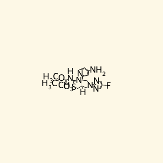 CC(C)(C)OC(=O)NC1=N[C@]2(c3cc(N)ccn3)CN(c3ncc(F)cn3)C[C@@H]2CS1